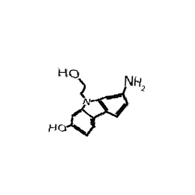 Nc1ccc2c3ccc(O)cc3n(CCO)c2c1